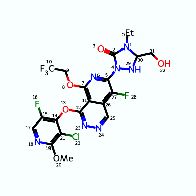 CCN1C(=O)N(c2nc(OCC(F)(F)F)c3c(Oc4c(F)cnc(OC)c4Cl)nncc3c2F)NC1CO